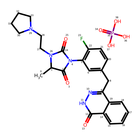 CC1C(=O)N(c2cc(Cc3n[nH]c(=O)c4ccccc34)ccc2F)C(=O)N1CCN1CCCC1.O=P(O)(O)O